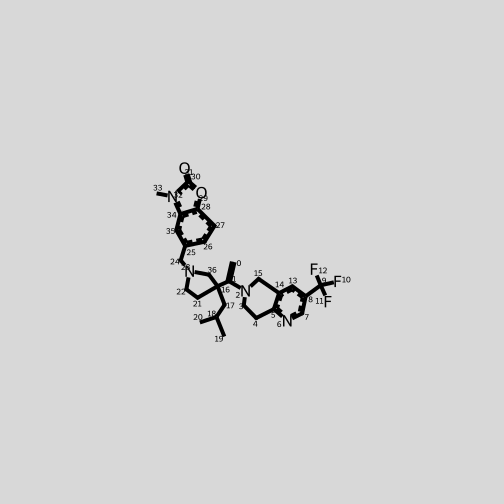 C=C(N1CCc2ncc(C(F)(F)F)cc2C1)C1(CC(C)C)CCN(Cc2ccc3oc(=O)n(C)c3c2)C1